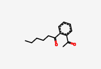 CCCCCC(=O)c1ccccc1C(C)=O